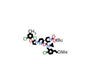 COCCc1ccc(Cl)c(CN(C(=O)[C@@H]2CN(C(=O)OC(C)(C)C)CC[C@H]2c2ccc(N3CC[C@@H](Oc4c(Cl)cc(C)cc4Cl)C3)nc2)C2CC2)c1